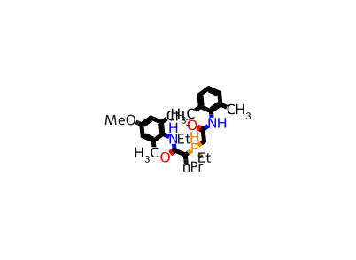 CCCC(C(=O)Nc1c(C)cc(OC)cc1C)[PH](CC)(CC)CC(=O)Nc1c(C)cccc1C